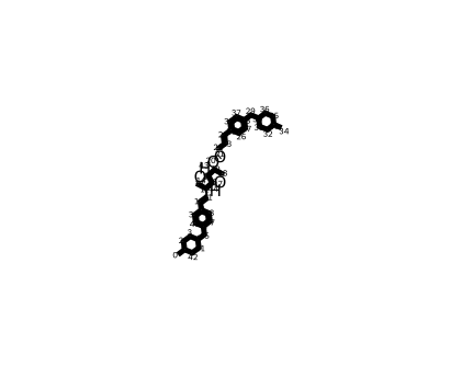 CC1CCC(Cc2ccc(C=C[C@H]3CO[C@H]4[C@@H]3OC[C@@H]4OOC/C=C/c3ccc(CC4CCC(C)CC4)cc3)cc2)CC1